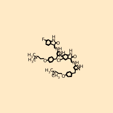 CN(C)CCCOc1ccc(Cc2cc(NC=C3C(=O)Nc4cc(F)ccc43)[nH]n2)cc1.CN(C)CCCOc1ccc(Cc2cc(NC=C3C(=O)Nc4ccc(Cl)cc43)[nH]n2)cc1